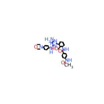 CC(=O)Nc1ccc(C(=O)Nc2cccc(-c3nc(N)nc(Nc4ccc(N5CCOCC5)cc4)n3)c2CO)cc1